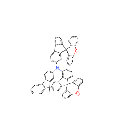 CC1(C)c2ccccc2-c2ccc(N(c3ccc4c(c3)C3(c5ccccc5Oc5ccccc53)c3ccccc3-4)c3cccc4c3-c3ccccc3C43c4ccccc4Oc4ccccc43)cc21